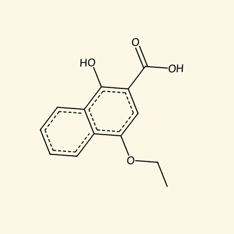 CCOc1cc(C(=O)O)c(O)c2ccccc12